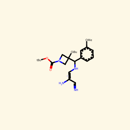 COc1cccc(C(N/C=C(/N)C=N)C2(OCC(C)C)CN(C(=O)OC(C)(C)C)C2)c1